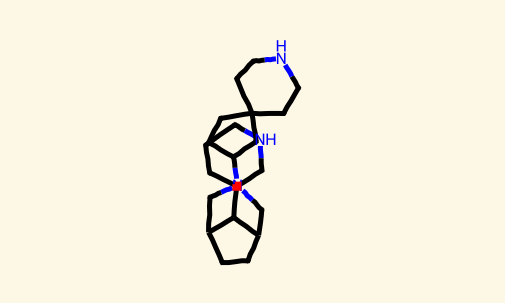 C1CNCC(C2C3CCC2CN(C2CCC4(CCNCC4)C2)C3)C1